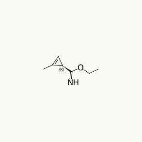 CCOC(=N)[C@@H]1C=C1C